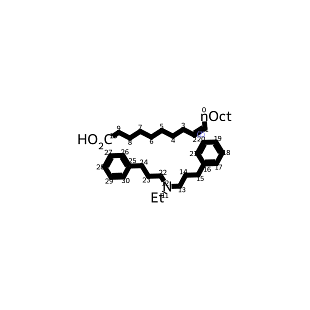 CCCCCCCC/C=C\CCCCCCCC(=O)O.CCN(CCCc1ccccc1)CCCc1ccccc1